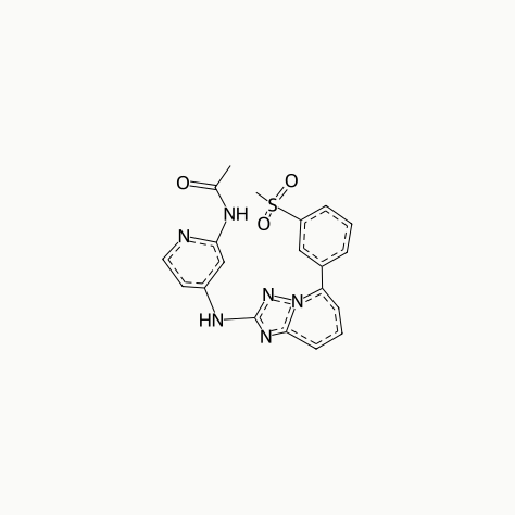 CC(=O)Nc1cc(Nc2nc3cccc(-c4cccc(S(C)(=O)=O)c4)n3n2)ccn1